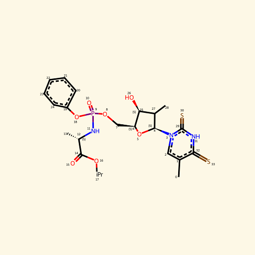 Cc1cn([C@H]2O[C@@H](COP(=O)(N[C@@H](C)C(=O)OC(C)C)Oc3ccccc3)[C@@H](O)C2C)c(=S)[nH]c1=S